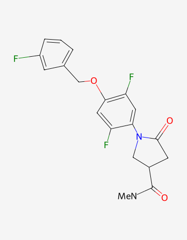 CNC(=O)C1CC(=O)N(c2cc(F)c(OCc3cccc(F)c3)cc2F)C1